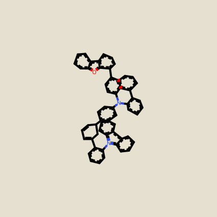 C1=CC(c2ccc(N(c3ccc(-c4cccc5c4oc4ccccc45)cc3)c3ccccc3-c3ccccc3)cc2)CC(c2ccccc2-n2c3ccccc3c3ccccc32)=C1